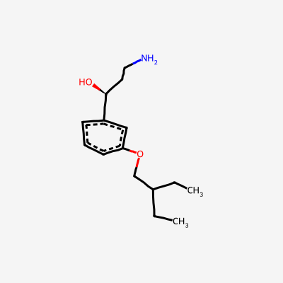 CCC(CC)COc1cccc([C@@H](O)CCN)c1